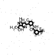 Cc1ccc(NC(=O)c2cccc(C(F)(F)F)c2)cc1-c1cc2[nH]nc([C@H](C)O)c2cn1